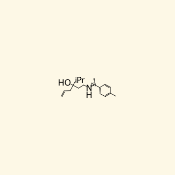 C=CCC(O)(CCN[C@@H](C)c1ccc(C)cc1)C(C)C